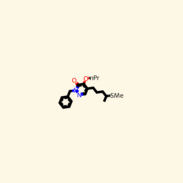 CCCOc1c(CCCC(C)SC)cnn(Cc2ccccc2)c1=O